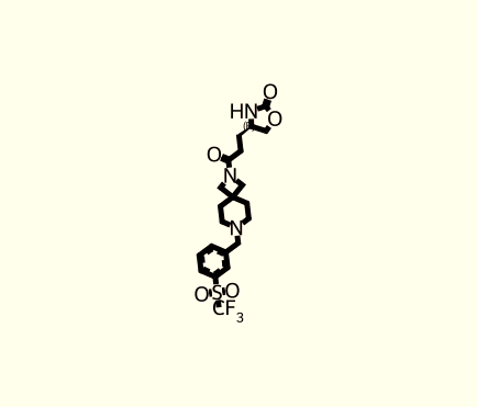 O=C1N[C@H](CCC(=O)N2CC3(CCN(Cc4cccc(S(=O)(=O)C(F)(F)F)c4)CC3)C2)CO1